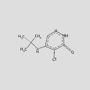 CC(C)(C)Nc1cn[nH]c(=O)c1Cl